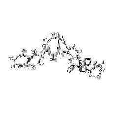 O=S(=O)(Oc1ccccc1)c1ccc2sc3ccc(-c4ccc5ccccc5c4)cc3c2c1